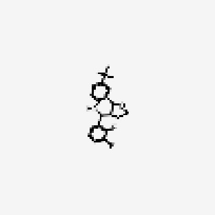 CC(C)(C)c1ccc2c(c1)C1OCCC1C(c1cccc(F)c1F)N2